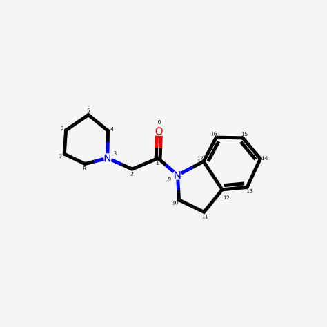 O=C(CN1CCCCC1)N1CCc2cc[c]cc21